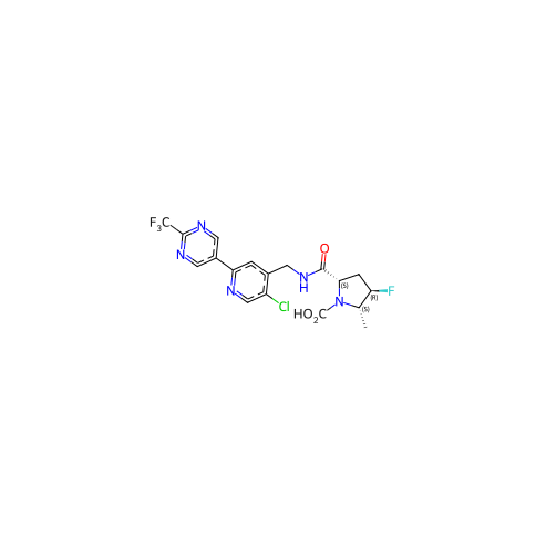 C[C@H]1[C@H](F)C[C@@H](C(=O)NCc2cc(-c3cnc(C(F)(F)F)nc3)ncc2Cl)N1C(=O)O